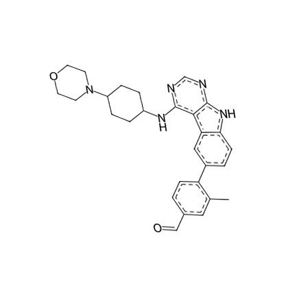 Cc1cc(C=O)ccc1-c1ccc2[nH]c3ncnc(NC4CCC(N5CCOCC5)CC4)c3c2c1